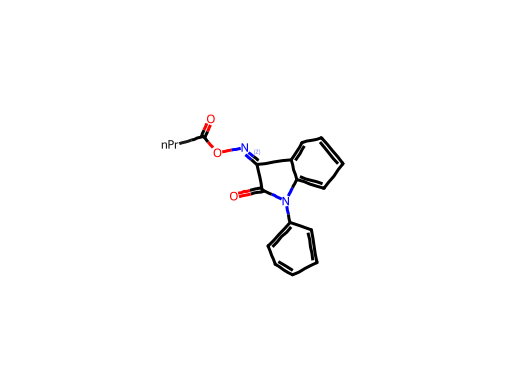 CCCC(=O)O/N=C1\C(=O)N(c2ccccc2)c2ccccc21